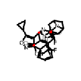 O=C(O)c1cnc(N2C3CC(NCc4c(-c5ccccc5OC(F)(F)F)noc4C4CC4)CC2C3)cc1C(F)(F)F